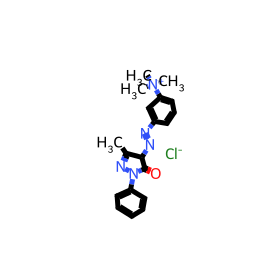 CC1=NN(c2ccccc2)C(=O)C1/N=N/c1cccc([N+](C)(C)C)c1.[Cl-]